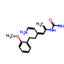 C=C(/C=C(\C=C/N)CCc1ccccc1OC)NC(N)=O